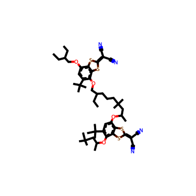 CCC(CC)COc1cc(C(C)(C)C)c(OCC(CC)CCCC(C)(C)CC(C)Oc2cc(C(C)(C)C)c(OC(C)CC(C)(C)C)c3c2SC(=C(C#N)C#N)S3)c2c1SC(=C(C#N)C#N)S2